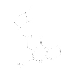 Cc1nc2ccccn2c(=O)c1CNC[C@@H]1CCC(=O)N1